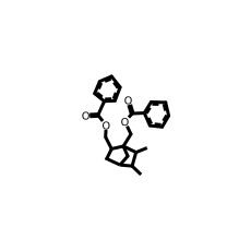 CC1C2CC(COC(=O)c3ccccc3)C(COC(=O)c3ccccc3)(C2)C1C